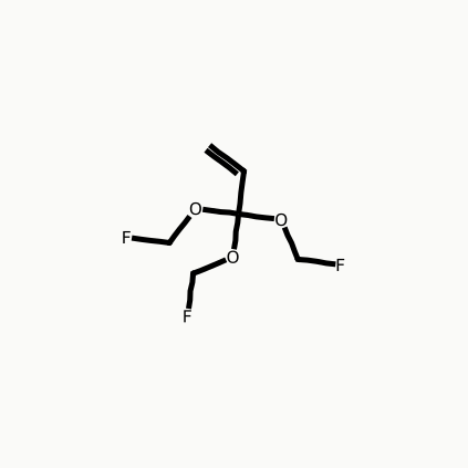 C=CC(OCF)(OCF)OCF